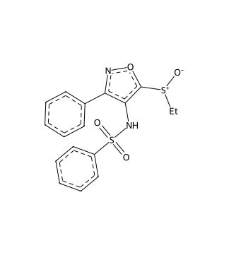 CC[S+]([O-])c1onc(-c2ccccc2)c1NS(=O)(=O)c1ccccc1